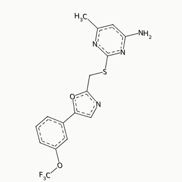 Cc1cc(N)nc(SCc2ncc(-c3cccc(OC(F)(F)F)c3)o2)n1